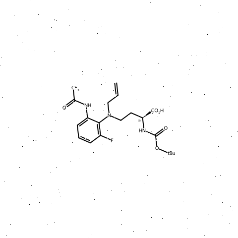 C=CCN(CC[C@H](NC(=O)OC(C)(C)C)C(=O)O)c1c(F)cccc1NC(=O)C(F)(F)F